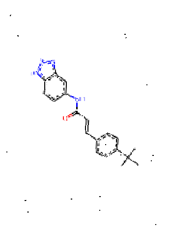 CC(C)(C)c1ccc(/C=C/C(=O)Nc2ccc3[nH]nnc3c2)cc1